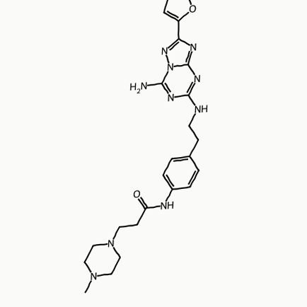 CN1CCN(CCC(=O)Nc2ccc(CCNc3nc(N)n4nc(-c5ccco5)nc4n3)cc2)CC1